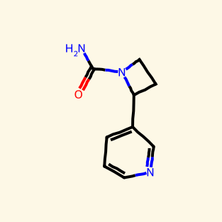 NC(=O)N1CCC1c1cccnc1